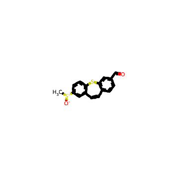 C[S+]([O-])c1ccc2c(c1)C=Cc1ccc(C=O)cc1S2